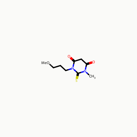 COCCCN1C(=O)CC(=O)N(C)C1=S